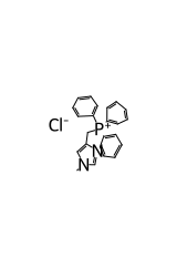 Cn1cnc(C[P+](c2ccccc2)(c2ccccc2)c2ccccc2)c1.[Cl-]